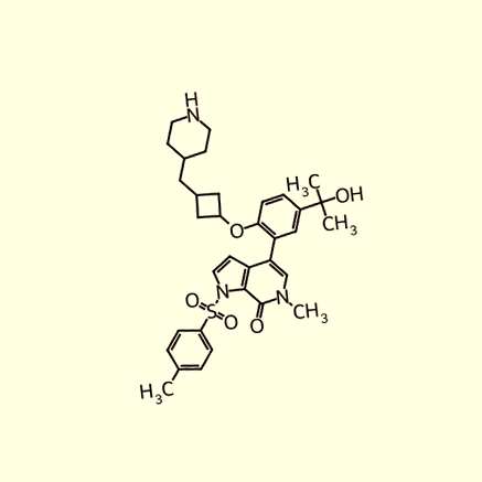 Cc1ccc(S(=O)(=O)n2ccc3c(-c4cc(C(C)(C)O)ccc4OC4CC(CC5CCNCC5)C4)cn(C)c(=O)c32)cc1